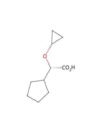 O=C(O)[C@@H](OC1CC1)C1CCCC1